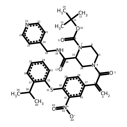 C=C(C(=O)N1CCN(C(=O)OC(C)(C)C)C(C(=O)NCc2ccncc2)C1)c1ccc(Sc2ccccc2C(C)C)c([N+](=O)[O-])c1